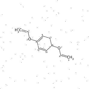 C=COC1=CCC(OC=C)C=C1